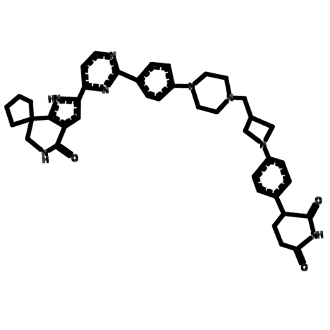 O=C1CCC(c2ccc(N3CC(CN4CCN(c5ccc(-c6nccc(-c7cc8c([nH]7)C7(CCCC7)CNC8=O)n6)cc5)CC4)C3)cc2)C(=O)N1